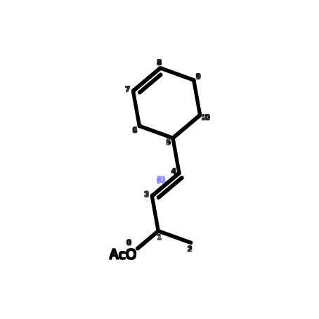 CC(=O)OC(C)/C=C/C1CC=CCC1